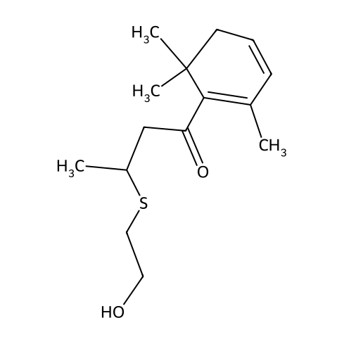 CC1=C(C(=O)CC(C)SCCO)C(C)(C)CC=C1